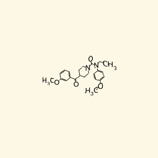 CCN(C(=O)N1CCC(C(=O)c2cccc(OC)c2)CC1)c1ccc(OC)cc1